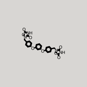 O=c1[nH]c(=O)n(Cc2ccc(Oc3cccc(Oc4ccc(Cn5oc(=O)[nH]c5=O)cc4)c3)cc2)o1